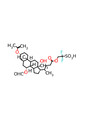 C=C(C)O[C@@H]1CC[C@@]2(C)C(C1)C[C@@H](OC=O)[C@H]1[C@@H]3CC[C@H]([C@H](C)CCC(=O)OCC(F)(F)S(=O)(=O)O)[C@@]3(C)[C@@H](O)C[C@@H]12